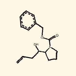 C=CCC(O)C1CCCN1C(=O)OCc1ccccc1